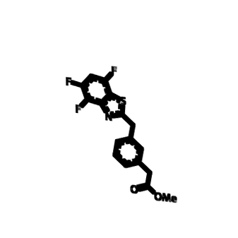 COC(=O)Cc1cccc(Cc2nc3c(F)c(F)cc(F)c3s2)c1